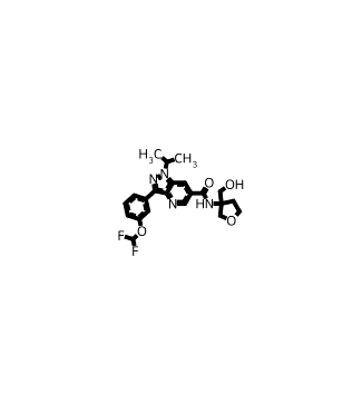 CC(C)n1nc(-c2cccc(OC(F)F)c2)c2ncc(C(=O)NC3(CO)CCOC3)cc21